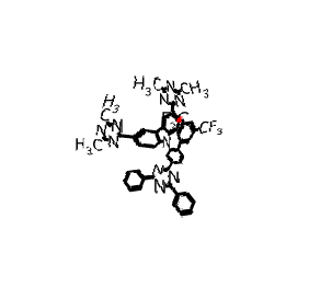 Cc1nc(C)nc(-c2ccc3c(c2)c2cc(-c4nc(C)nc(C)n4)ccc2n3-c2cc(-c3nc(-c4ccccc4)nc(-c4ccccc4)n3)ccc2-c2cc(C(F)(F)F)cc(C(F)(F)F)c2)n1